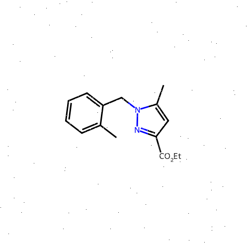 CCOC(=O)c1cc(C)n(Cc2ccccc2C)n1